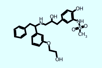 CS(=O)(=O)Nc1cc(CC(O)CNC(Cc2ccccc2)c2cccc(OCCO)c2)ccc1O